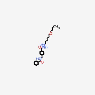 CCCCOCCCCCCNNC(=O)c1ccc(CNC(=O)c2ccccc2)cc1